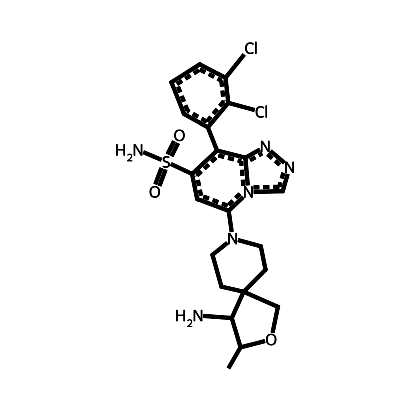 CC1OCC2(CCN(c3cc(S(N)(=O)=O)c(-c4cccc(Cl)c4Cl)c4nncn34)CC2)C1N